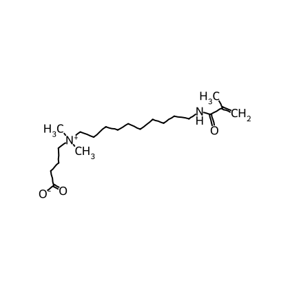 C=C(C)C(=O)NCCCCCCCCCC[N+](C)(C)CCCC(=O)[O-]